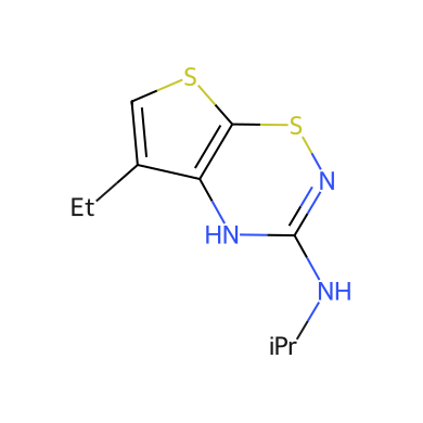 CCc1csc2c1NC(NC(C)C)=NS2